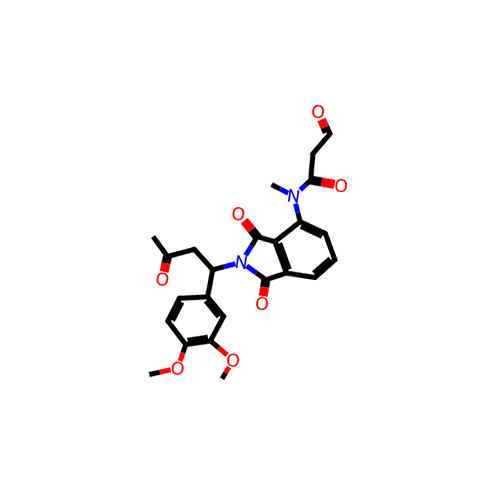 COc1ccc(C(CC(C)=O)N2C(=O)c3cccc(N(C)C(=O)CC=O)c3C2=O)cc1OC